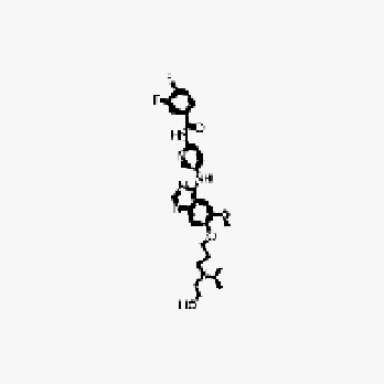 COc1cc2c(Nc3ccc(NC(=O)c4ccc(F)c(F)c4)nc3)ncnc2cc1OCCCN(CCO)C(C)C